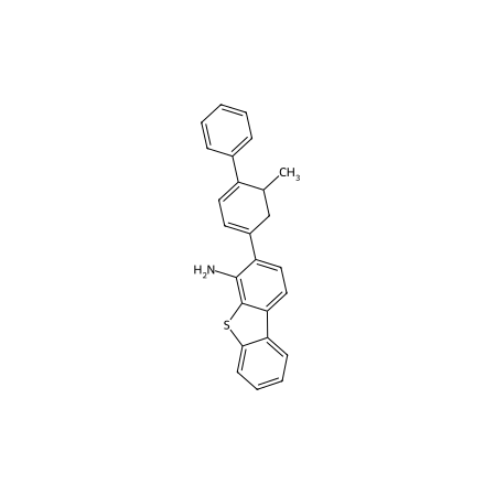 CC1CC(c2ccc3c(sc4ccccc43)c2N)=CC=C1c1ccccc1